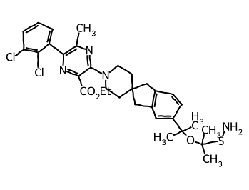 CCOC(=O)c1nc(-c2cccc(Cl)c2Cl)c(C)nc1N1CCC2(CC1)Cc1ccc(C(C)(C)OC(C)(C)SN)cc1C2